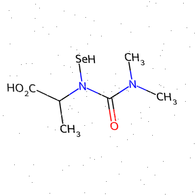 CC(C(=O)O)N([SeH])C(=O)N(C)C